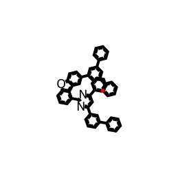 c1ccc(-c2cc(-c3ccccc3)cc(-c3ccc4oc5cccc(-c6nc(-c7ccccc7)cc(-c7cccc(-c8ccccc8)c7)n6)c5c4c3)c2)cc1